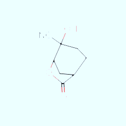 N#CC1(O)CCC2CC1OC2=O